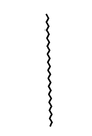 CCCC[CH]CCCCCCCCCCCCCCCCCCCCCCCC